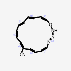 N#CC1=C\C=C/C=C/C=C/C=C\ON/N=N/C=C\C=C\1